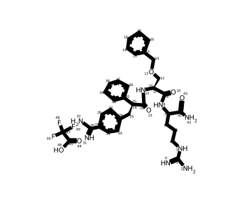 N=C(N)NCCCC(NC(=O)[C@H](COCc1ccccc1)NC(=O)[C@@H](Cc1ccc(C(=N)N)cc1)c1ccccc1)C(N)=O.O=C(O)C(F)(F)F